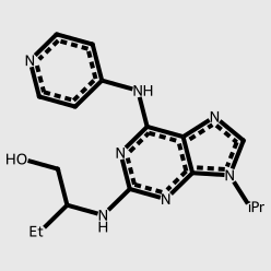 CCC(CO)Nc1nc(Nc2ccncc2)c2ncn(C(C)C)c2n1